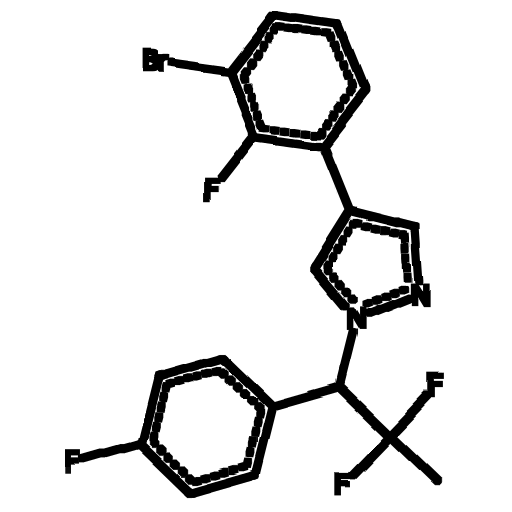 CC(F)(F)C(c1ccc(F)cc1)n1cc(-c2cccc(Br)c2F)cn1